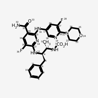 C[C@H](NC(=O)O)[C@@H](Cc1ccccc1)Nc1nc(Nc2cnc(N3CCOCC3)c(F)c2)c(C(N)=O)cc1F